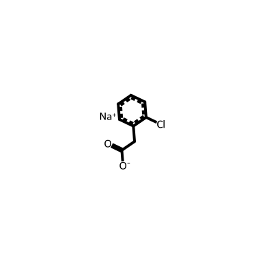 O=C([O-])Cc1ccccc1Cl.[Na+]